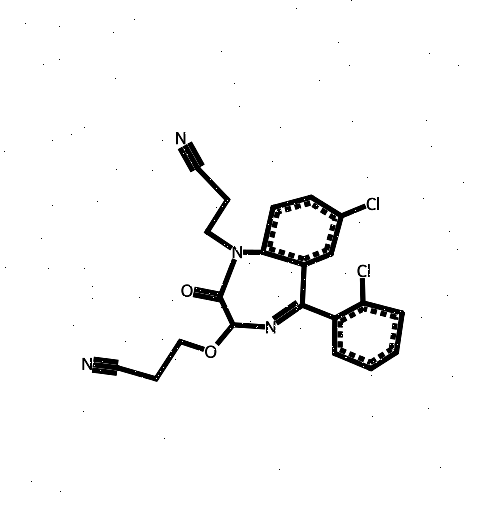 N#CCCOC1N=C(c2ccccc2Cl)c2cc(Cl)ccc2N(CCC#N)C1=O